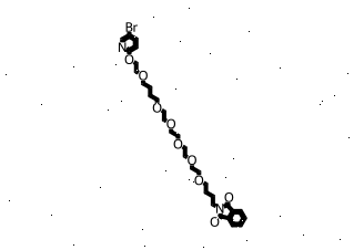 O=C1c2ccccc2C(=O)N1CCCCOCCOCCOCCOCCOCCCCOCCOc1ccc(Br)cn1